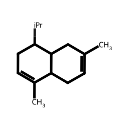 CC1=CCC2C(C)=CCC(C(C)C)C2C1